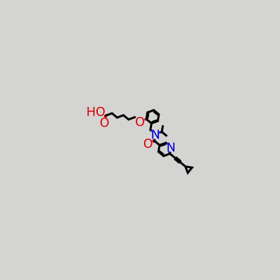 CC(C)N(Cc1ccccc1OCCCCCC(=O)O)C(=O)c1ccc(C#CC2CC2)nc1